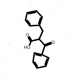 O=C(O)C(Cc1ccccc1)C(=O)c1ccccc1